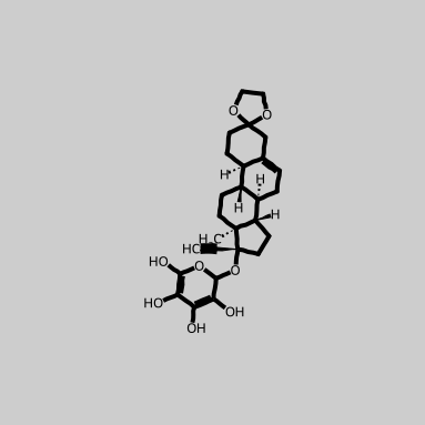 C#C[C@]1(OC2OC(O)=C(O)C(O)=C2O)CC[C@H]2[C@@H]3CC=C4CC5(CC[C@@H]4[C@H]3CC[C@@]21C)OCCO5